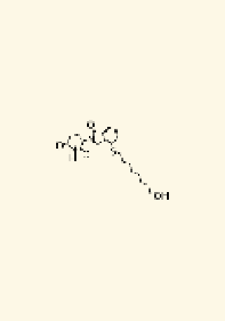 O=C1CCC(N2Cc3c(SCCCCCCCCO)cccc3C2=O)C(=O)N1